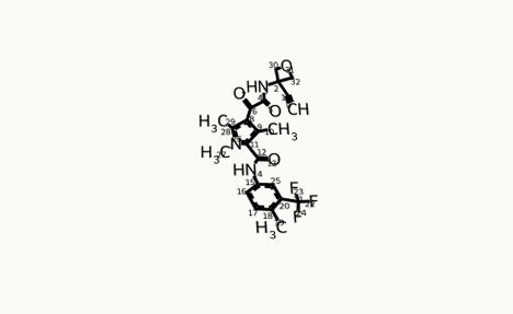 C#CC1(NC(=O)C(=O)c2c(C)c(C(=O)Nc3ccc(C)c(C(F)(F)F)c3)n(C)c2C)COC1